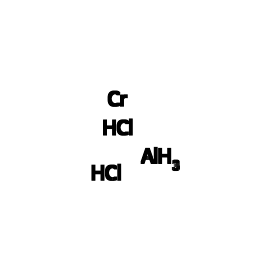 Cl.Cl.[AlH3].[Cr]